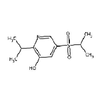 CC(C)c1ncc(S(=O)(=O)C(C)C)cc1O